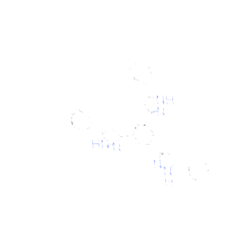 Cc1cccc(-c2cc(-c3cc(-c4cc(-c5cccc(C)c5)[nH]n4)cc(-c4cc(-c5cccc(C)c5)[nH]n4)c3)n[nH]2)c1